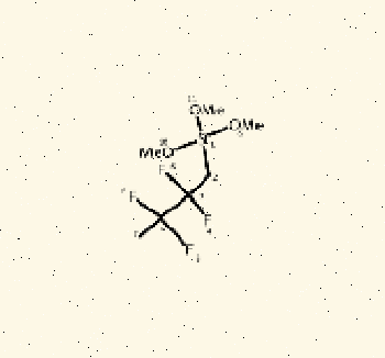 CO[Si](CC(F)(F)C(C)(F)F)(OC)OC